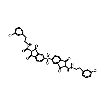 O=C(NCCc1cccc(Cl)c1)C1C(=O)c2ccc(S(=O)(=O)c3ccc4c(c3)C(=O)C(C(=O)NCCc3cccc(Cl)c3)C4=O)cc2C1=O